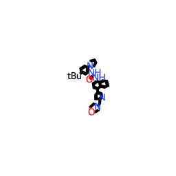 CC(C)(C)c1ccc(N2CCCC2)c(NC(=O)Nc2ccc(-c3ccc(CN4CCOCC4)nc3)c3ccccc23)c1